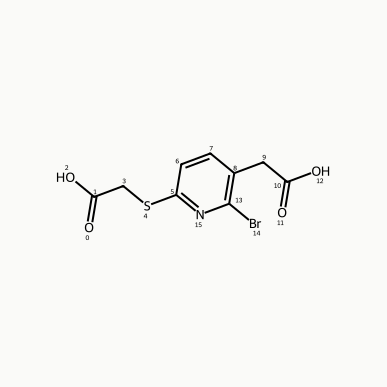 O=C(O)CSc1ccc(CC(=O)O)c(Br)n1